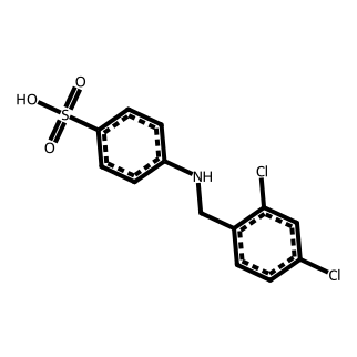 O=S(=O)(O)c1ccc(NCc2ccc(Cl)cc2Cl)cc1